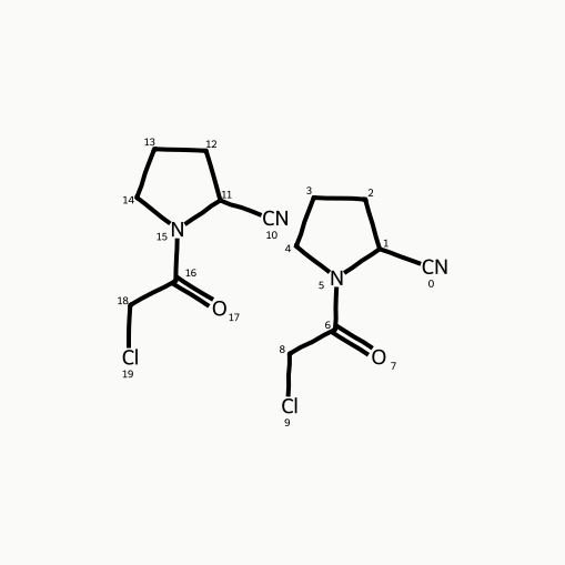 N#CC1CCCN1C(=O)CCl.N#CC1CCCN1C(=O)CCl